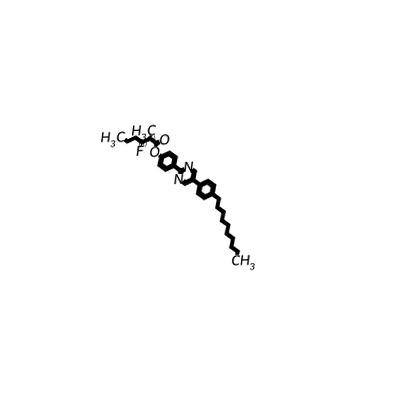 CCCCCCCCCCc1ccc(-c2cnc(-c3ccc(OC(=O)[C@H](C)[C@H](F)CCC)cc3)nc2)cc1